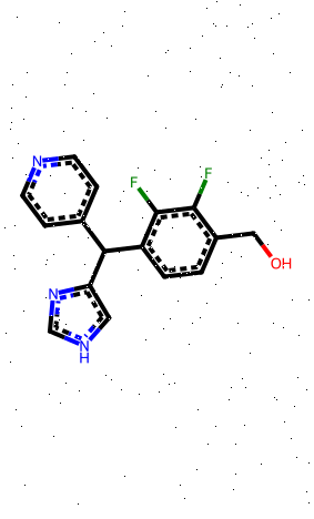 OCc1ccc(C(c2ccncc2)c2c[nH]cn2)c(F)c1F